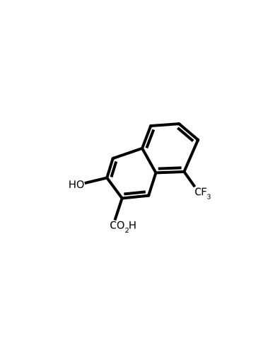 O=C(O)c1cc2c(C(F)(F)F)cccc2cc1O